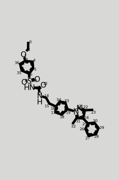 CCOc1ccc(S(=O)(=O)NC(=O)NCCc2ccc(-n3nc(C)c(-c4ccccc4)c3C)cc2)cc1